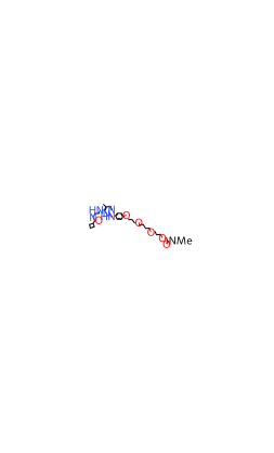 CNC(=O)COCCCOCCCCOCCCOc1ccc(Nc2ncc(C)c(NCCN(C)C(=O)C3CCC3)n2)cc1